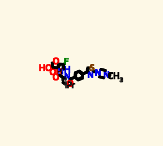 CC(C)C[C@H](NC(=O)c1ccc(-c2csc(N3CCN(C)CC3)n2)cc1)C(=O)n1cc(F)c2c1C(O)(O)CO2